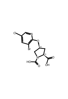 O=C(O)[C@@H]1C[C@H](Oc2ncc(Cl)cc2Br)CN1C(=O)O